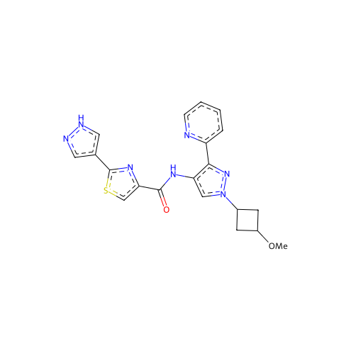 COC1CC(n2cc(NC(=O)c3csc(-c4cn[nH]c4)n3)c(-c3ccccn3)n2)C1